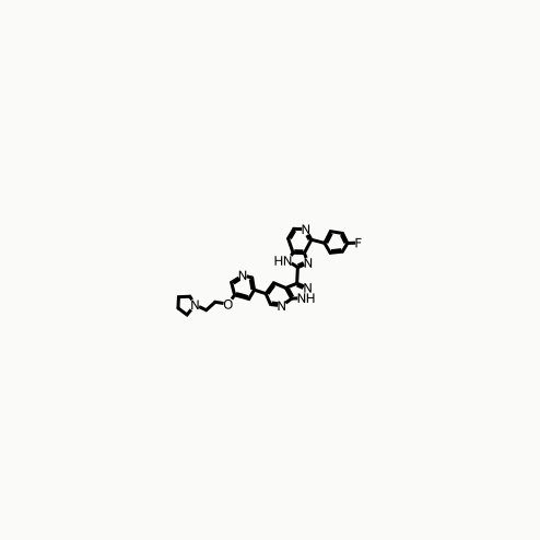 Fc1ccc(-c2nccc3[nH]c(-c4n[nH]c5ncc(-c6cncc(OCCN7CCCC7)c6)cc45)nc23)cc1